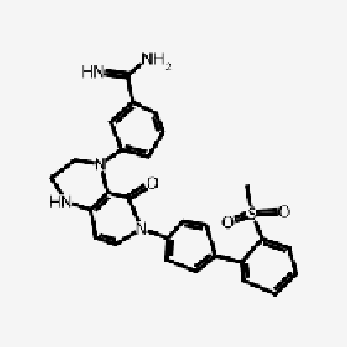 CS(=O)(=O)c1ccccc1-c1ccc(-n2ccc3c(c2=O)N(c2cccc(C(=N)N)c2)CCN3)cc1